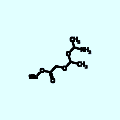 CC(N)OC(C)OCC(=O)OC(C)(C)C